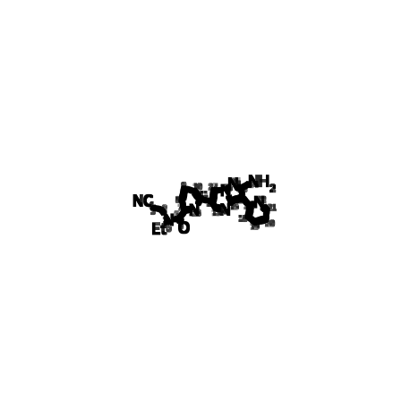 CCN(CCC#N)C(=O)c1cccc(-c2cnc3c(-c4ccccn4)c(N)nn3c2)n1